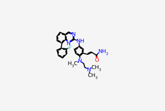 CN(C)CCN(C)c1ccc(Nc2ncc3cccc(-c4ccccc4F)c3n2)cc1C=CC(N)=O